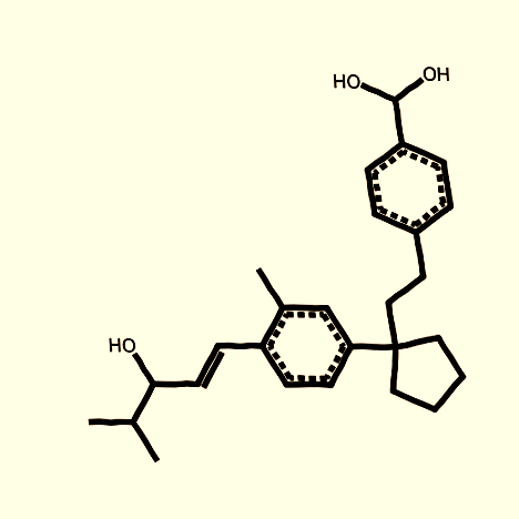 Cc1cc(C2(CCc3ccc(C(O)O)cc3)CCCC2)ccc1C=CC(O)C(C)C